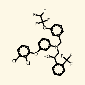 OC(CN(Cc1cccc(OC(F)(F)C(F)F)c1)c1cccc(Oc2cccc(Cl)c2Cl)c1)c1ccccc1C(F)(F)F